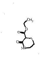 CCOC(=O)C1SCCNC1=O